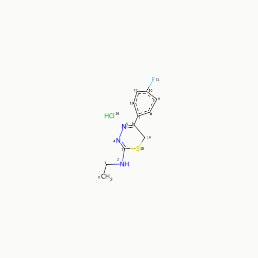 CCNC1=NN=C(c2ccc(F)cc2)CS1.Cl